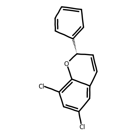 Clc1cc(Cl)c2c(c1)C=C[C@@H](c1ccccc1)O2